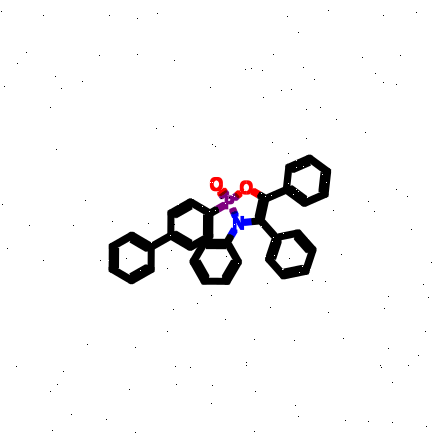 O=P1(c2ccc(-c3ccccc3)cc2)OC(c2ccccc2)=C(c2ccccc2)N1c1ccccc1